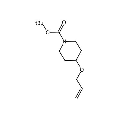 C=CCOC1CCN(C(=O)OC(C)(C)C)CC1